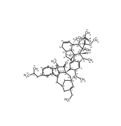 CCC1=C[C@H]2CN(C1)Cc1c([nH]c3ccc(CC(C)C)cc13)[C@@](C(=O)OC)(C1C=C3C(=CC1OC)N(C)[C@H]1[C@@](O)(C(=O)OC)[C@H](OC(C)=O)[C@]4(CC)C=CCN5CC[C@]31[C@@H]54)C2